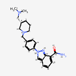 CN(C)C[C@@H]1CCCN(Cc2ccc(-n3cc4cccc(C(N)=O)c4n3)cc2)C1